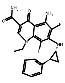 CCn1cc(C(N)=O)c(=O)c2c(N)c(F)c(N[C@@H]3C[C@H]3c3ccccc3)c(F)c21